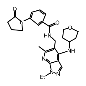 CCn1ncc2c(NC3CCOCC3)c(CNC(=O)c3cccc(N4CCCC4=O)c3)c(C)nc21